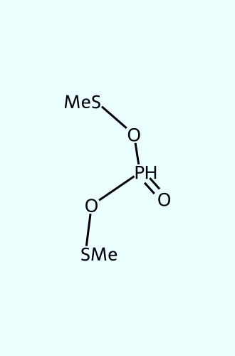 CSO[PH](=O)OSC